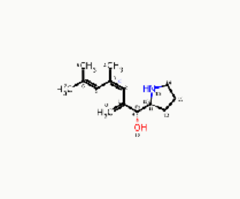 C=C(/C=C(/C)C=C(C)C)[C@@H](O)[C@@H]1CCCN1